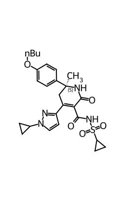 CCCCOc1ccc([C@]2(C)CC(c3ccn(C4CC4)n3)=C(C(=O)NS(=O)(=O)C3CC3)C(=O)N2)cc1